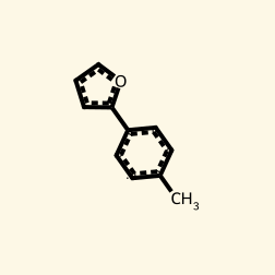 Cc1[c]cc(-c2ccco2)cc1